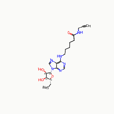 C#CCNC(=O)CCCCCNc1ncnc2c1ncn2[C@@H]1O[C@H](CSC)[C@@H](O)[C@H]1O